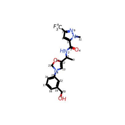 CC(NC(=O)c1cc(C(F)(F)F)nn1C)C1=CN(c2cccc(CO)c2)CO1